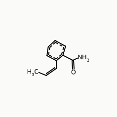 C/C=C\c1ccccc1C(N)=O